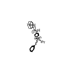 CC(C)CN(CCCCc1ccccc1)S(=O)(=O)c1ccc(NC(=O)O[C@H]2CO[C@H]3OCC[C@H]32)cc1